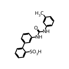 Cc1cccc(NC(=O)Nc2cccc(-c3ccccc3S(=O)(=O)O)c2)c1